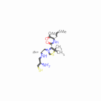 CC[C@H](C)[C@@H](CN1CSC(C)(C)[C@H]1C(=O)N[C@@H](CCSC)C(=O)OC)NC[C@@H](N)CS